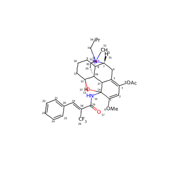 COC1=CC(OC(C)=O)=C2C[C@@H]3[C@@H]4CCC[C@@H]5OC1(NC(=O)C(=Cc1ccccc1)C(F)(F)F)C2[C@@]54CC[N+]3(C)CC(C)C